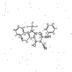 CC(C)(C)n1nc(C(=O)C(C#N)C(=O)Nc2ccccc2)c2c1-c1ccccc1SC2